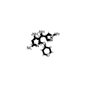 CC(C)n1cc(C(=N)c2c(N)cc(C#N)nc2OC2CCOCC2)cn1